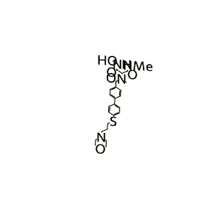 CNC(=O)C(C(=O)NO)N(C)C(=O)c1ccc(-c2ccc(SCCCN3CCOCC3)cc2)cc1